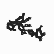 Cc1ccccc1[C@@H]([SH]1C[C@H](O)[C@H](n2cc(-c3cc(F)c(F)c(F)c3)nn2)[C@@H](O)[C@H]1CO)C1(O)CCN(C)CC1